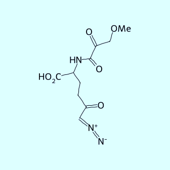 COCC(=O)C(=O)NC(CCC(=O)C=[N+]=[N-])C(=O)O